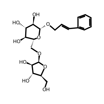 OC[C@@H]1O[C@H](OC[C@H]2O[C@@H](OCC=Cc3ccccc3)[C@H](O)[C@@H](O)[C@@H]2O)[C@H](O)[C@H]1O